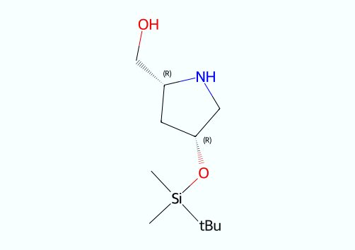 CC(C)(C)[Si](C)(C)O[C@H]1CN[C@@H](CO)C1